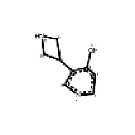 Oc1ccncc1C1CNC1